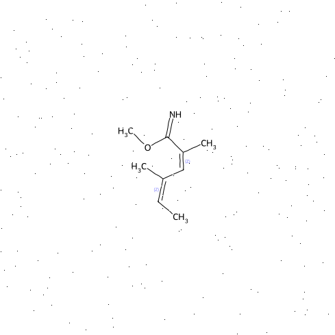 C/C=C(C)\C=C(\C)C(=N)OC